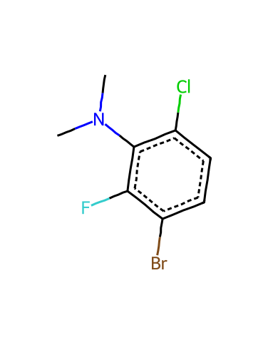 CN(C)c1c(Cl)ccc(Br)c1F